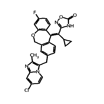 Cc1nc2cc(Cl)ccn2c1Cc1ccc2c(c1)COc1cc(F)ccc1C2=C(c1noc(=O)[nH]1)C1CC1